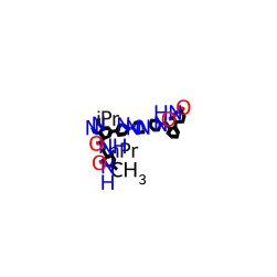 CCCc1cc(C)[nH]c(=O)c1CNC(=O)c1cc(-c2ccc(N3CCN(C4CCN(Cc5ccccc5C5CCC(=O)NC5=O)CC4)CC3)nc2)cc2c1cnn2C(C)C